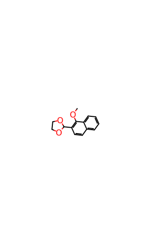 COc1c(C2OCCO2)ccc2ccccc12